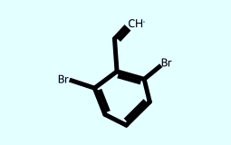 [CH]=Cc1c(Br)cccc1Br